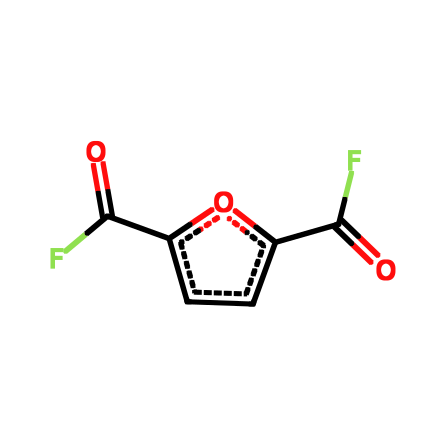 O=C(F)c1ccc(C(=O)F)o1